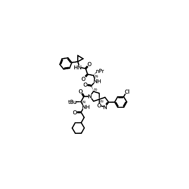 CCC[C@H](NC(=O)[C@@H]1C[C@]2(CC(c3cccc(Cl)c3)=NO2)CN1C(=O)[C@@H](NC(=O)CC1CCCCC1)C(C)(C)C)C(=O)C(=O)NC1(c2ccccc2)CC1